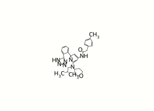 Cc1ccc(CC(=O)Nc2cc(-c3ccccc3-c3nnn[nH]3)nc(N(CC(C)C)C3CCOCC3)c2)cc1